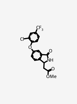 COC(=O)CC1NC(=O)c2cc(Oc3ccc(C(F)(F)F)cc3Cl)ccc21